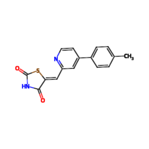 Cc1ccc(-c2ccnc(/C=C3\SC(=O)NC3=O)c2)cc1